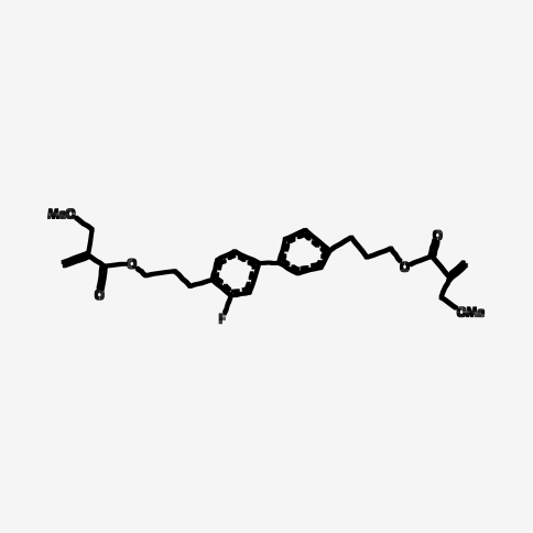 C=C(COC)C(=O)OCCCc1ccc(-c2ccc(CCCOC(=O)C(=C)COC)c(F)c2)cc1